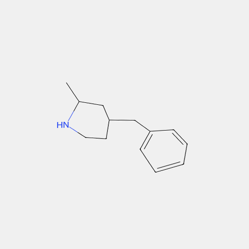 CC1CC(Cc2ccccc2)CCN1